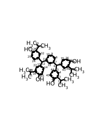 CC(C)c1cc(C(c2cccc(C(c3ccc(O)c(C(C)C)c3)c3ccc(O)c(C(C)C)c3)c2)c2ccc(O)c(C(C)C)c2)ccc1O